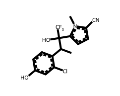 CC(c1ccc(O)cc1Cl)C(O)(c1ccc(C#N)n1C)C(F)(F)F